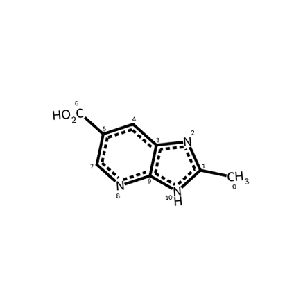 Cc1nc2cc(C(=O)O)cnc2[nH]1